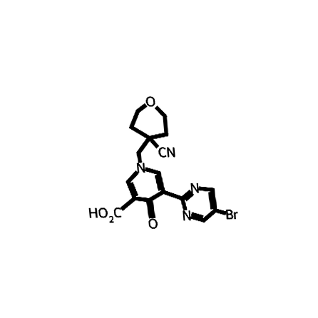 N#CC1(Cn2cc(C(=O)O)c(=O)c(-c3ncc(Br)cn3)c2)CCOCC1